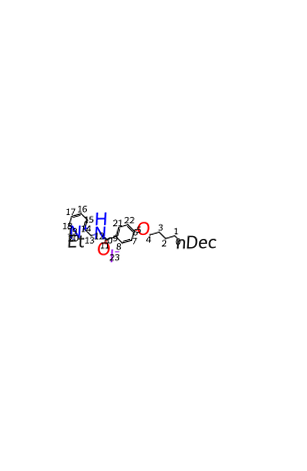 CCCCCCCCCCCCCCOc1ccc(C(=O)NCc2cccc[n+]2CC)cc1.[I-]